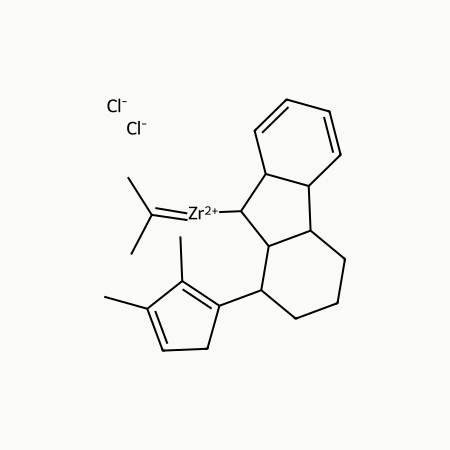 CC1=CCC(C2CCCC3C4C=CC=CC4[CH]([Zr+2]=[C](C)C)C23)=C1C.[Cl-].[Cl-]